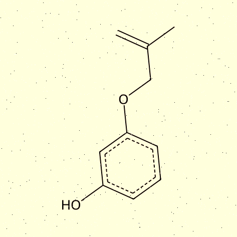 C=C(C)COc1cccc(O)c1